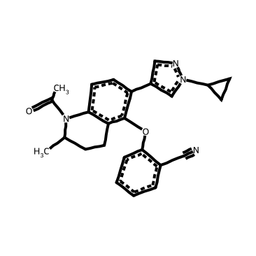 CC(=O)N1c2ccc(-c3cnn(C4CC4)c3)c(Oc3ccccc3C#N)c2CCC1C